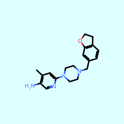 Cc1cc(N2CCN(Cc3ccc4c(c3)OCC4)CC2)ncc1N